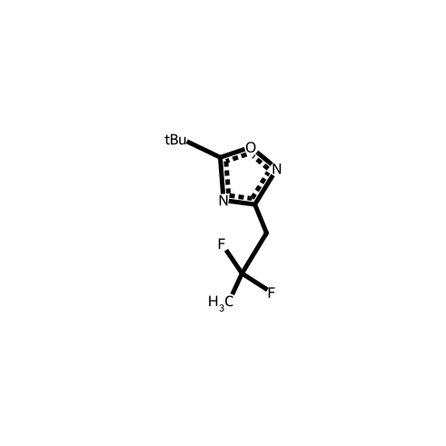 CC(F)(F)Cc1noc(C(C)(C)C)n1